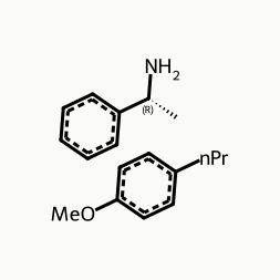 CCCc1ccc(OC)cc1.C[C@@H](N)c1ccccc1